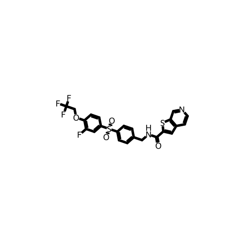 O=C(NCc1ccc(S(=O)(=O)c2ccc(OCC(F)(F)F)c(F)c2)cc1)c1cc2ccncc2s1